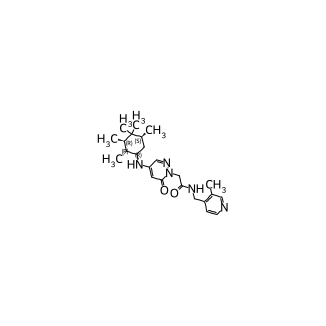 Cc1cnccc1CNC(=O)Cn1ncc(N[C@@H]2C[C@H](C)C(C)(C)[C@H](C)[C@H]2C)cc1=O